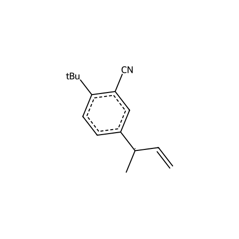 C=C[C](C)c1ccc(C(C)(C)C)c(C#N)c1